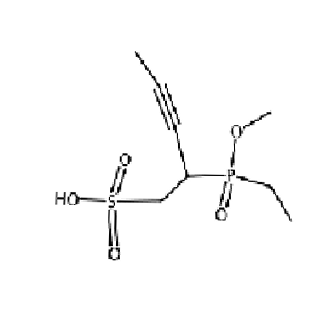 CC#CC(CS(=O)(=O)O)P(=O)(CC)OC